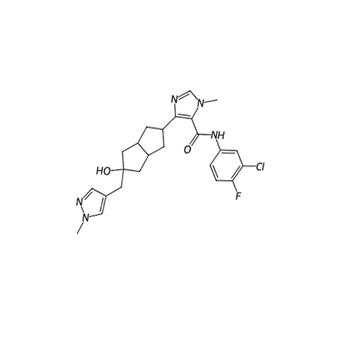 Cn1cc(CC2(O)CC3CC(c4ncn(C)c4C(=O)Nc4ccc(F)c(Cl)c4)CC3C2)cn1